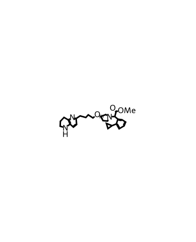 COC(=O)C(c1ccccc1C1CC1)N1CC[C@@H](OCCCCc2ccc3c(n2)CCCN3)C1